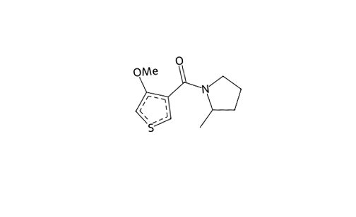 COc1cscc1C(=O)N1CCCC1C